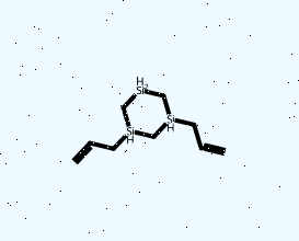 C=CC[SiH]1C[SiH2]C[SiH](CC=C)C1